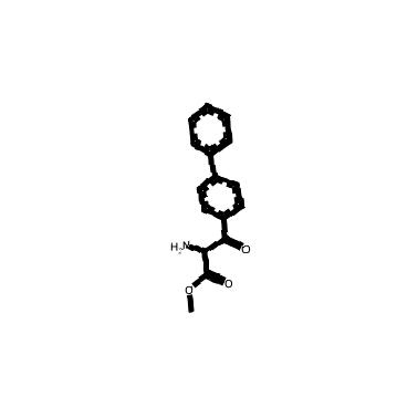 COC(=O)C(N)C(=O)c1ccc(-c2ccccc2)cc1